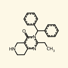 CCc1nc2c(c(=O)n1C(c1ccccc1)c1ccccc1)CNCC2